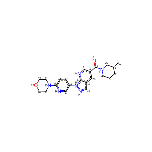 C[C@H]1CCCN(C(=O)c2cnc3c(cnn3-c3ccc(N4CCOCC4)nc3)c2)C1